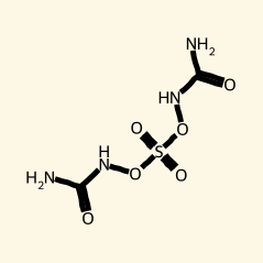 NC(=O)NOS(=O)(=O)ONC(N)=O